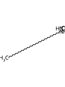 CCCCCCCCCCCCCCCCCCCCCCCCCCCCCCCCCCCCCNC1=CC=CC=CN1